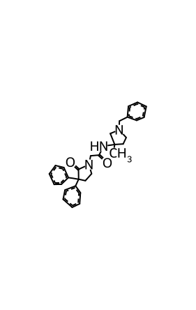 CC1(NC(=O)CN2CCC(c3ccccc3)(c3ccccc3)C2=O)CCN(Cc2ccccc2)C1